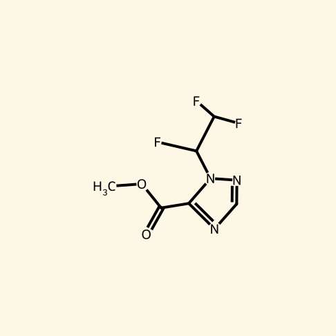 COC(=O)c1ncnn1C(F)C(F)F